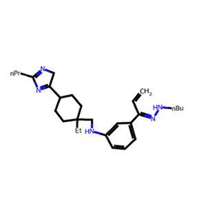 C=C/C(=N\NCCCC)c1cccc(NCC2(CC)CCC(C3=NC(CCC)=NC3)CC2)c1